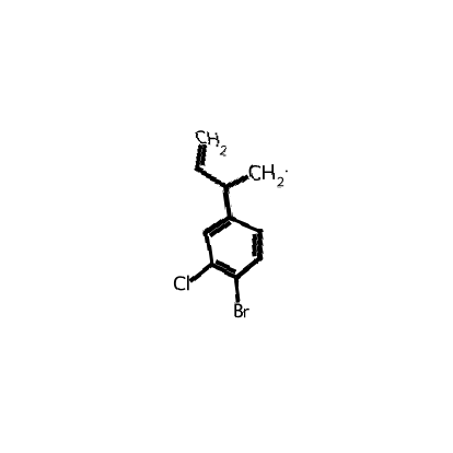 [CH2]C(C=C)c1ccc(Br)c(Cl)c1